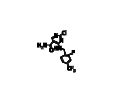 NC(=O)c1cnc(Cl)nc1NCc1ccc(C(F)(F)F)cc1F